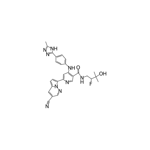 Cc1nnc(-c2ccc(Nc3cc(-c4ccc5cc(C#N)cnn45)ncc3C(=O)NCC(F)C(C)(C)O)cc2)[nH]1